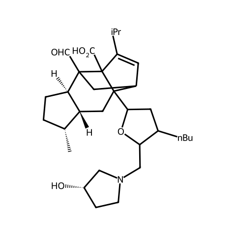 CCCCC1CC(C23C[C@@H]4[C@H](C)CC[C@H]4C4(C=O)CC2C=C(C(C)C)C34C(=O)O)OC1CN1CC[C@H](O)C1